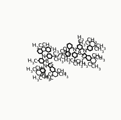 Cc1cc2c3c(c1)N(c1ccc4c(c1)C(C)(C)CCC4(C)C)c1c(sc4cc5c(cc14)C(C)(C)CCC5(C)C)B3c1cc(C(C)(C)CCC(C)(C)c3cccc4c3oc3cccc(N5c6ccc(C(C)(C)C)cc6B6c7sc8cc9c(cc8c7N(c7ccc8c(c7)C(C)(C)CCC8(C)C)c7cc(C)cc5c76)C(C)(C)CCC9(C)C)c34)ccc1N2c1cccc2c1-c1ccccc1C2(C)C